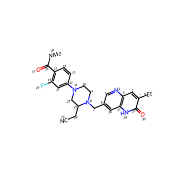 CCc1cc2ncc(CN3CCN(c4ccc(C(=O)NC)c(F)c4)CC3CC#N)cc2[nH]c1=O